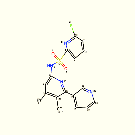 CC(C)c1cc(NS(=O)(=O)c2cccc(F)n2)nc(-c2cccnc2)c1C(F)(F)F